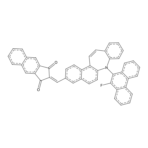 O=C1C(=Cc2ccc3c4c(ccc3c2)N(c2c(F)c3ccccc3c3ccccc23)c2ccccc2C=C4)C(=O)c2cc3ccccc3cc21